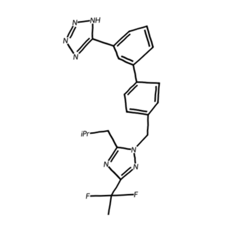 CC(C)Cc1nc(C(C)(F)F)nn1Cc1ccc(-c2cccc(-c3nnn[nH]3)c2)cc1